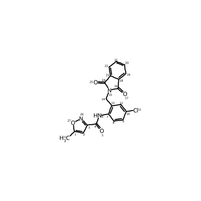 Cc1cc(C(=O)Nc2ccc(Cl)cc2CN2C(=O)c3ccccc3C2=O)no1